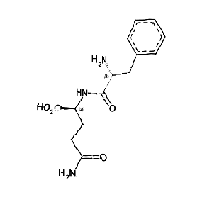 NC(=O)CC[C@H](NC(=O)[C@H](N)Cc1ccccc1)C(=O)O